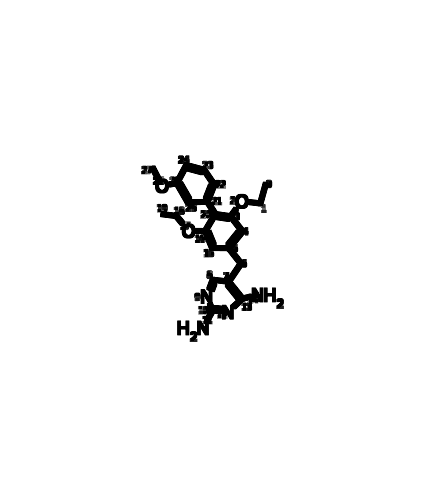 CCOc1cc(Cc2cnc(N)nc2N)cc(OCC)c1-c1cccc(OC)c1